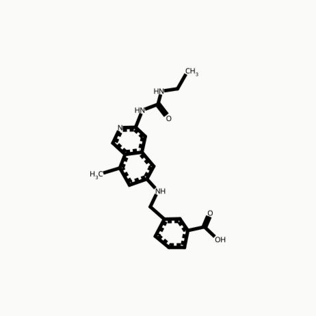 CCNC(=O)Nc1cc2cc(NCc3cccc(C(=O)O)c3)cc(C)c2cn1